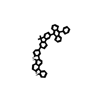 CC1(C)c2ccc(-c3c4ccccc4c(-c4ccccc4)c4ccccc34)cc2-c2ccc(-c3ccc4sc5c(ccc6c5ccc5sc7ccccc7c56)c4c3)cc21